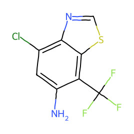 Nc1cc(Cl)c2ncsc2c1C(F)(F)F